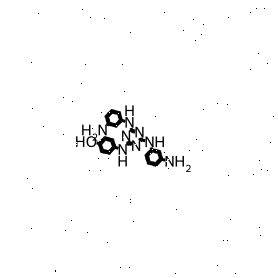 Nc1cccc(Nc2nc(Nc3ccc(O)cc3)nc(Nc3cccc(N)c3)n2)c1